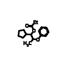 CCC(=O)OC(C1CCCC1)C(C)Oc1ccccc1